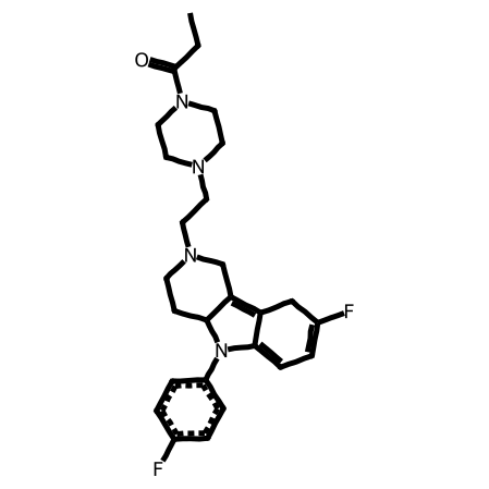 CCC(=O)N1CCN(CCN2CCC3C(=C4CC(F)=CC=C4N3c3ccc(F)cc3)C2)CC1